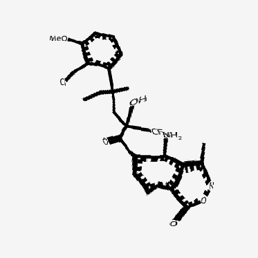 COc1cccc(C(C)(C)CC(O)(C(=O)c2ccc3c(=O)onc(C)c3c2N)C(F)(F)F)c1Cl